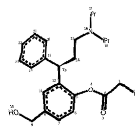 CC(C)CC(=O)Oc1ccc(CO)cc1[C@H](CCN(C(C)C)C(C)C)c1ccccc1